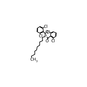 CCCCCCCCCCP(C(=O)c1c(Cl)cccc1Cl)C(=O)c1c(Cl)cccc1Cl